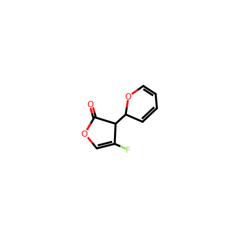 O=C1OC=C(F)C1C1C=CC=CO1